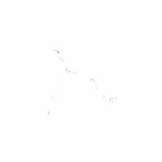 O=C([O-])CO.[Cs+]